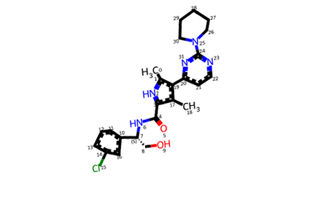 Cc1[nH]c(C(=O)N[C@H](CO)c2cccc(Cl)c2)c(C)c1-c1ccnc(N2CCCCC2)n1